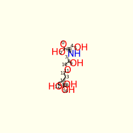 O=C(O)[C@H](CO)NCC(O)COCCC[Si](O)(O)O